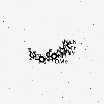 CCC1c2c(C#N)ncn2-c2cnc(Nc3cc(F)c(C(=O)Nc4ccc(CN5CCN(C)CC5)cc4)cc3OC)nc2N1C(C)C